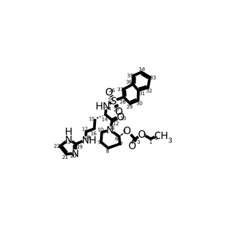 CCOC(=O)O[C@@H]1CCCCN1C(=O)[C@H](CCCNc1ncc[nH]1)NS(=O)(=O)c1ccc2ccccc2c1